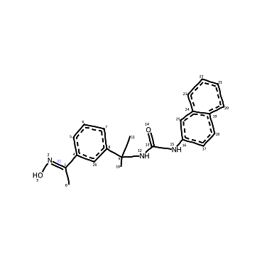 C/C(=N\O)c1cccc(C(C)(C)NC(=O)Nc2ccc3ccccc3c2)c1